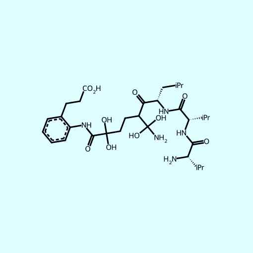 CC(C)C[C@H](NC(=O)[C@@H](NC(=O)[C@@H](N)C(C)C)C(C)C)C(=O)C(CCC(O)(O)C(=O)Nc1ccccc1CCC(=O)O)C(N)(O)O